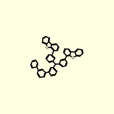 c1ccc(-c2cccc(-c3cccc(C(c4cccc(-c5cccc6c5oc5ccccc56)c4)c4cccc(-c5cccc6c5oc5ccccc56)c4)c3)c2)cc1